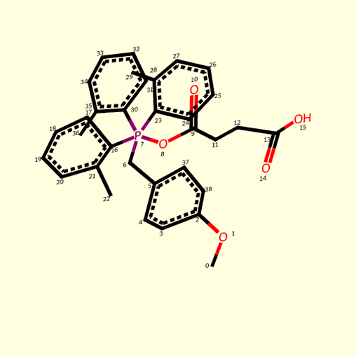 COc1ccc(CP(OC(=O)CCC(=O)O)(c2ccccc2C)(c2ccccc2C)c2ccccc2C)cc1